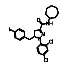 O=C(NC1CCCCCC1)C1=NN(c2ccc(Cl)cc2Cl)C(Cc2ccc(I)cc2)C1